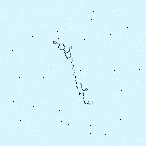 CC(C)(C)c1ccc(-c2ccc(OCCCCCCCc3ccc(C(=O)NCCC(=O)O)cc3)cc2Cl)cc1